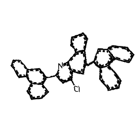 Clc1cc(-c2cc3ccccc3c3ccccc23)nc2c1cc(-c1cc3ccccc3c3ccccc13)c1ccccc12